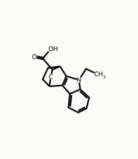 CCn1c2c(c3ccccc31)C1CCC2C(C(=O)O)C1